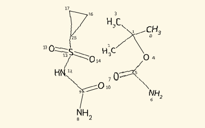 CC(C)(C)OC(N)=O.NC(=O)NS(=O)(=O)C1CC1